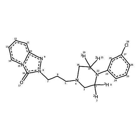 [2H]C1([2H])CN(CCCn2nc3ccccn3c2=O)CC([2H])([2H])N1c1cccc(Cl)c1